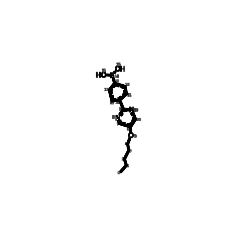 CCCCCOc1cnc(-c2ccc(B(O)O)cc2)nc1